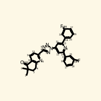 CC1(C)CCc2nc(-c3nnn(-c4cc(-c5cccc(F)c5)nc(-c5cccc(F)c5)c4)n3)ccc2C1=O